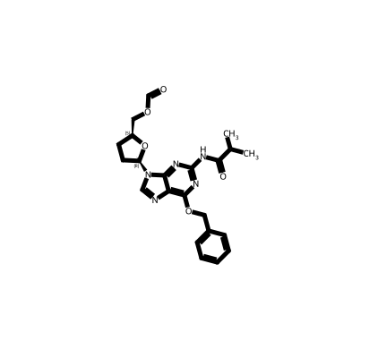 CC(C)C(=O)Nc1nc(OCc2ccccc2)c2ncn([C@H]3CC[C@@H](COC=O)O3)c2n1